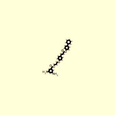 Nc1cc(N)cc(C(=O)OCCCOc2ccc(C=CC(=O)Oc3ccc(C4CCCCC4)cc3)cc2)c1